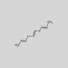 C/C=C/C/C=C/C/C=C/C